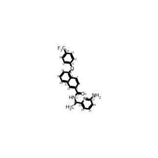 CC(NC(=O)c1ccc2c(Oc3ccc(C(F)(F)F)cc3)cccc2c1)c1cccc(N)n1